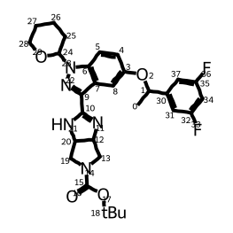 CC(Oc1ccc2c(c1)c(C1=NC3CN(C(=O)OC(C)(C)C)CC3N1)nn2C1CCCCO1)c1cc(F)cc(F)c1